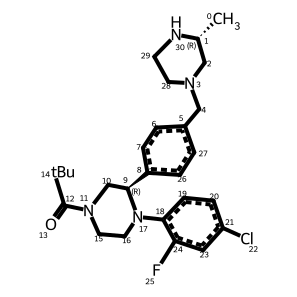 C[C@@H]1CN(Cc2ccc([C@@H]3CN(C(=O)C(C)(C)C)CCN3c3ccc(Cl)cc3F)cc2)CCN1